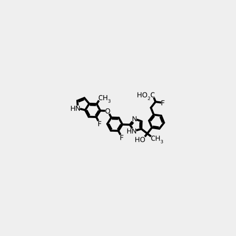 Cc1c(Oc2ccc(F)c(-c3ncc(C(C)(O)c4cccc(CC(F)C(=O)O)c4)[nH]3)c2)c(F)cc2[nH]ccc12